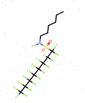 CCCC[CH]CN(F)S(=O)(=O)C(F)(F)C(F)(F)C(F)(F)C(F)(F)C(F)(F)C(F)(F)C(F)(F)C(F)(F)F